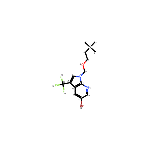 C[Si](C)(C)CCOCn1cc(C(F)(F)F)c2cc(Br)cnc21